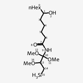 CCCCCCC(O)CCCCC(=O)NC(OC)(OC)C(C[SiH3])OC